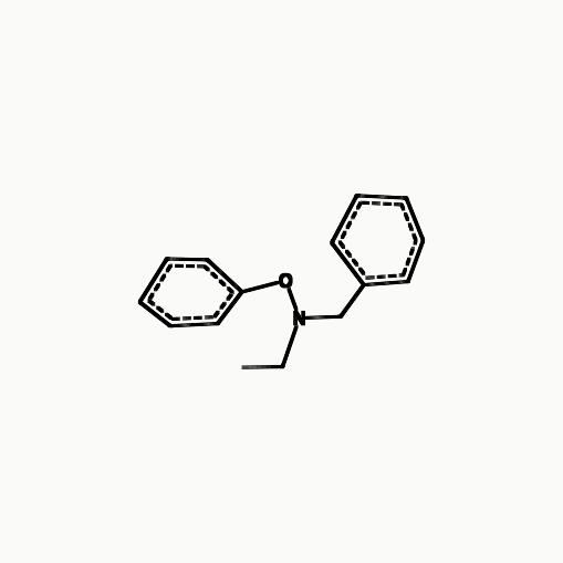 CCN(Cc1ccccc1)Oc1ccccc1